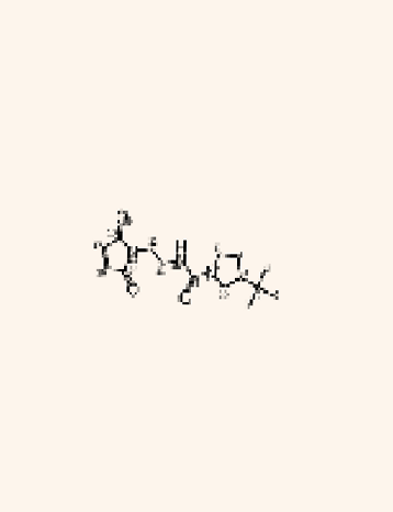 CC(C)(C)C1CCN(C(=O)NCCN2C(=O)C=CC2=O)C1